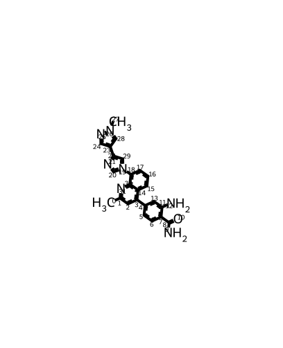 Cc1cc(-c2ccc(C(N)=O)c(N)c2)c2cccc(-n3cnc(-c4cnn(C)c4)c3)c2n1